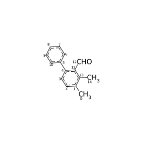 Cc1ccc(-c2ccccc2)c(C=O)c1C